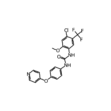 COc1cc(Cl)c(C(F)(F)F)cc1NC(=O)Nc1ccc(Oc2ccncc2)cc1